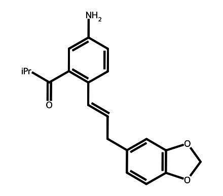 CC(C)C(=O)c1cc(N)ccc1/C=C/Cc1ccc2c(c1)OCO2